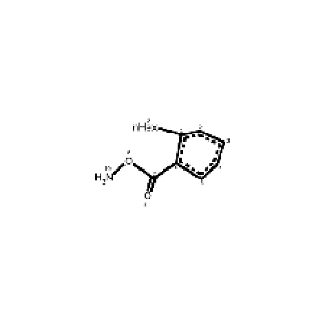 CCCCCCc1ccccc1C(=O)ON